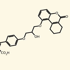 O=C(O)/C=C\c1ccc(OCC(O)COc2cccc3oc(=O)c4c(c23)CCCC4)cc1